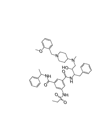 CCS(=O)(=O)Nc1cc(C(=O)NC(C)c2ccccc2)cc(C(=O)NC(Cc2ccccc2)C(O)CN(C)C2CCN(Cc3ccccc3OC)CC2)c1